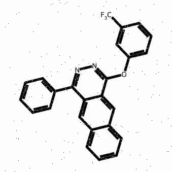 FC(F)(F)c1cccc(Oc2nnc(-c3ccccc3)c3cc4ccccc4cc23)c1